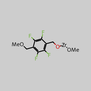 COCc1c(F)c(F)c(C[O][Zr][O]C)c(F)c1F